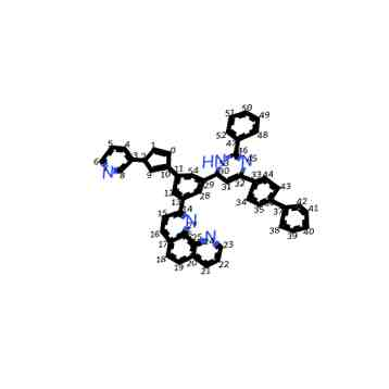 C1=CC(c2cccnc2)C=C1c1cc(-c2ccc3ccc4cccnc4c3n2)cc(C2C=C(c3ccc(-c4ccccc4)cc3)N=C(c3ccccc3)N2)c1